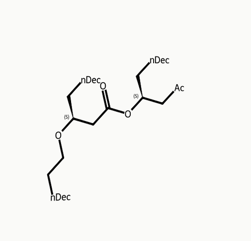 CCCCCCCCCCCCO[C@@H](CCCCCCCCCCC)CC(=O)O[C@@H](CCCCCCCCCCC)CC(C)=O